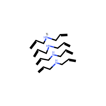 C=CCNCC=C.C=CCNCC=C.C=CCNCC=C.C=CCNCC=C.[Ti]